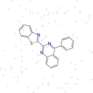 c1ccc(-c2nc(-c3nc4ccccc4s3)nc3ccccc23)cc1